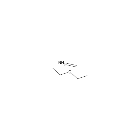 C=C.CCOCC.N